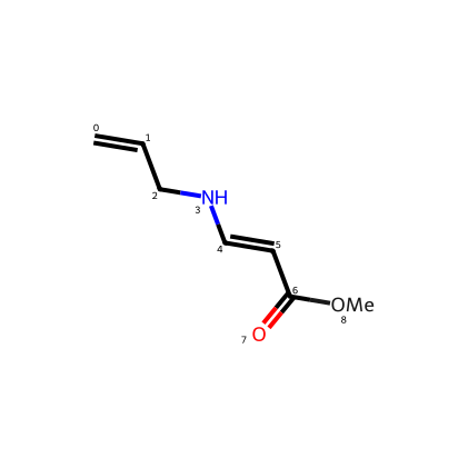 C=CCNC=CC(=O)OC